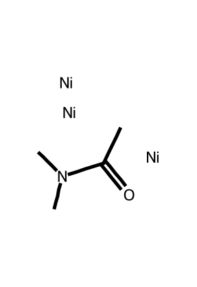 CC(=O)N(C)C.[Ni].[Ni].[Ni]